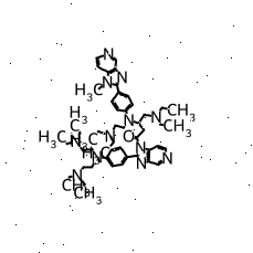 CCN(CC)CCN(CCN(CC)CC)c1ccc(-c2nc3cnccc3n2C(=O)CC(CN(CC)CC)N(CCN(CC)CC)c2ccc(-c3nc4cnccc4n3C)cc2)cc1